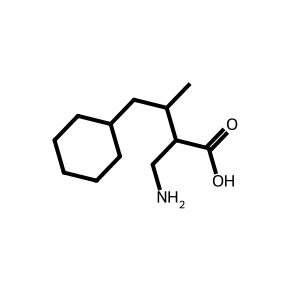 CC(CC1CCCCC1)C(CN)C(=O)O